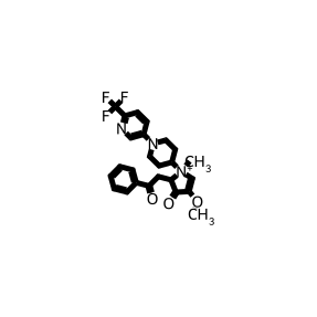 COC1=C[N+](C)(C2CCN(c3ccc(C(F)(F)F)nc3)CC2)C(CC(=O)c2ccccc2)C1=O